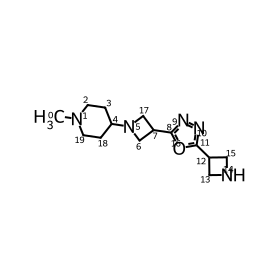 CN1CCC(N2CC(c3nnc(C4CNC4)o3)C2)CC1